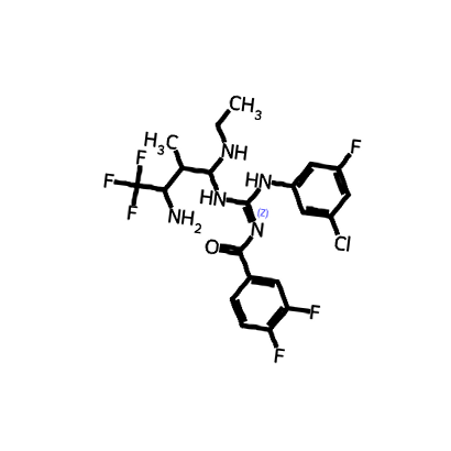 CCNC(N/C(=N\C(=O)c1ccc(F)c(F)c1)Nc1cc(F)cc(Cl)c1)C(C)C(N)C(F)(F)F